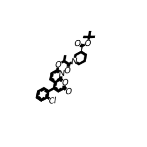 CC(Oc1ccc2c(-c3ccccc3Cl)cc(=O)oc2n1)C(=O)N1CCC[C@H](C(=O)OC(C)(C)C)C1